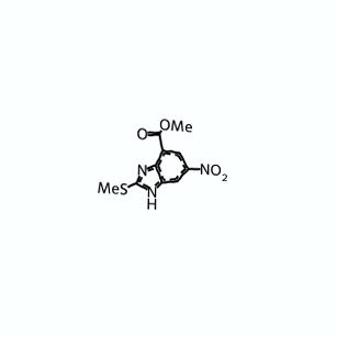 COC(=O)c1cc([N+](=O)[O-])cc2[nH]c(SC)nc12